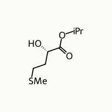 CSCC[C@H](O)C(=O)OC(C)C